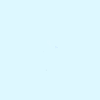 CN(CC1CCCCC1)C(=O)c1cccc(CC(C)(C)C)c1